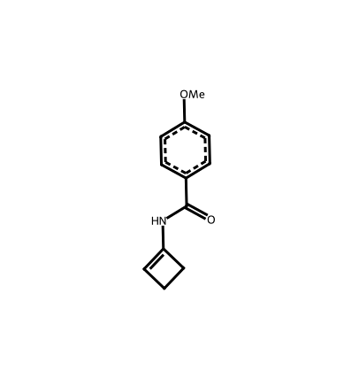 COc1ccc(C(=O)NC2=CCC2)cc1